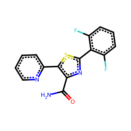 NC(=O)c1nc(-c2c(F)cccc2F)sc1-c1ccccn1